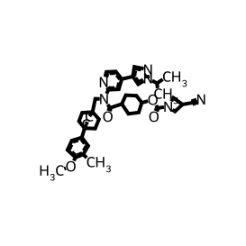 COc1ccc(C23CCC(CN(C(=O)C4CCC(OC(=O)N5CC(C#N)C5)CC4)c4cc(-c5cnn(C(C)C)c5)ccn4)(CC2)CC3)cc1C